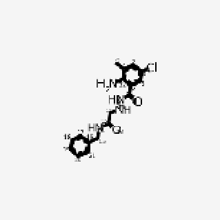 Cc1cc(Cl)cc(C(=O)NNCC(=O)NCc2ccccc2)c1N